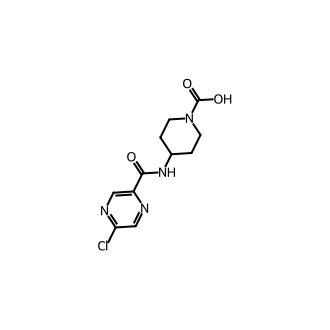 O=C(NC1CCN(C(=O)O)CC1)c1cnc(Cl)cn1